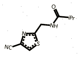 CC(C)C(=O)NCc1nc(C#N)cs1